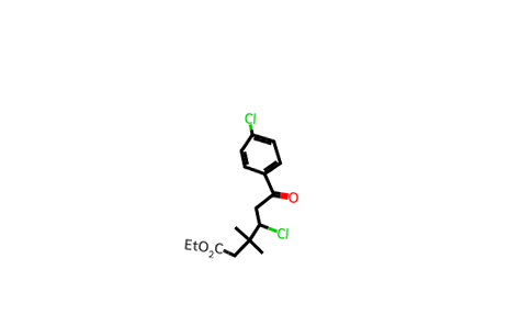 CCOC(=O)CC(C)(C)C(Cl)CC(=O)c1ccc(Cl)cc1